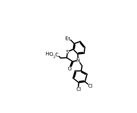 CCc1cccc2c1SC(CC(=O)O)C(=O)N2Cc1ccc(Cl)c(Cl)c1